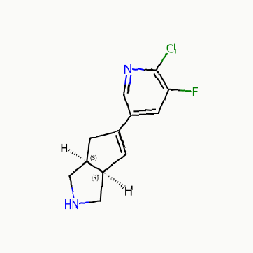 Fc1cc(C2=C[C@H]3CNC[C@H]3C2)cnc1Cl